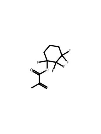 C=C(C)C(=O)OC1(F)CCCC(F)(F)C1(F)F